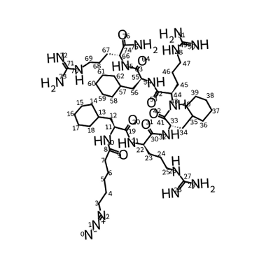 [N-]=[N+]=NCCCCCC(=O)N[C@@H](CC1CCCCC1)C(=O)N[C@H](CCCNC(=N)N)C(=O)N[C@@H](CC1CCCCC1)C(=O)N[C@H](CCCNC(=N)N)C(=O)N[C@@H](CC1CCCCC1)C(=O)N[C@H](CCCNC(=N)N)C(N)=O